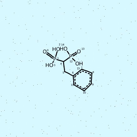 O=P(O)(O)C(Cc1ccccc1)P(=O)(O)O